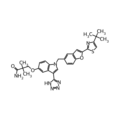 CC(C)(COc1ccc2c(c1)c(-c1nnn[nH]1)cn2Cc1ccc2oc(-c3nc(C(C)(C)C)cs3)cc2c1)C(N)=O